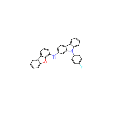 Fc1ccc(-n2c3ccccc3c3ccc(Nc4cccc5c4oc4ccccc45)cc32)cc1